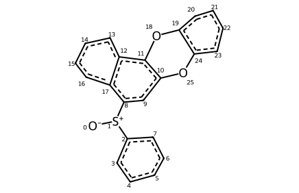 [O-][S+](c1ccccc1)c1cc2c(c3ccccc13)Oc1ccccc1O2